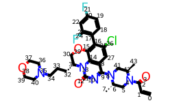 C=CC(=O)N1C[C@H](C)N(c2nc(=O)n3c4c(c(-c5ccc(F)cc5F)c(Cl)cc24)OC[C@H]3CCCN2CCOCC2)C[C@H]1C